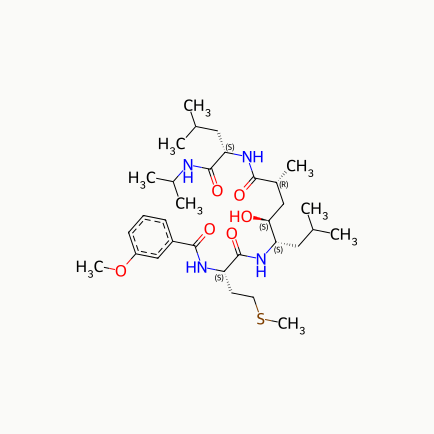 COc1cccc(C(=O)N[C@@H](CCSC)C(=O)N[C@@H](CC(C)C)[C@@H](O)C[C@@H](C)C(=O)N[C@@H](CC(C)C)C(=O)NC(C)C)c1